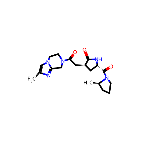 C[C@@H]1CCCN1C(=O)[C@@H]1C[C@@H](CC(=O)N2CCn3cc(C(F)(F)F)nc3C2)C(=O)N1